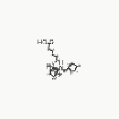 O=C(O)CCC/C=C\C[C@@H]1[C@@H](NCc2ccccc2)[C@@H]2CC[C@H]1O2